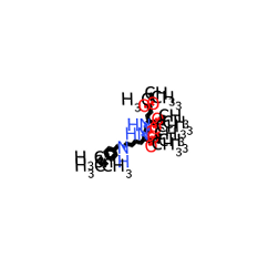 CC(C)(C)OC(=O)CCC(NC(=O)NC(CCCCNCc1cc[c]([Sn]([CH3])([CH3])[CH3])cc1)C(=O)OC(C)(C)C)C(=O)OC(C)(C)C